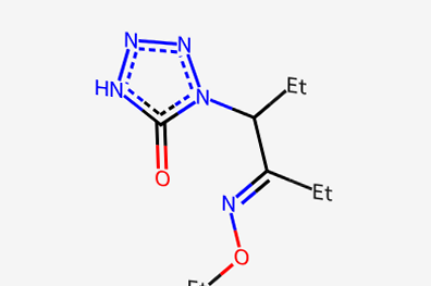 CCON=C(CC)C(CC)n1nn[nH]c1=O